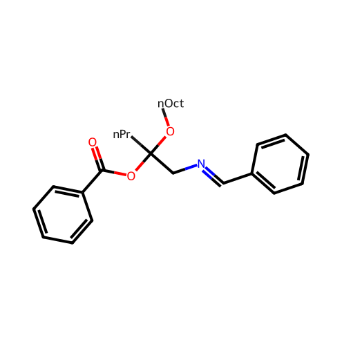 CCCCCCCCOC(CCC)(CN=Cc1ccccc1)OC(=O)c1ccccc1